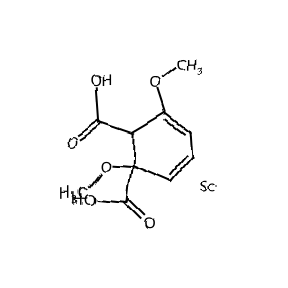 COC1=CC=CC(OC)(C(=O)O)C1C(=O)O.[Sc]